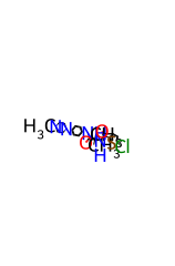 CN1CCN(c2ccc(NC(=O)C(C)(C)NC(=O)c3ccc(Cl)s3)cc2)CC1